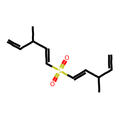 C=CC(C)C=CS(=O)(=O)C=CC(C)C=C